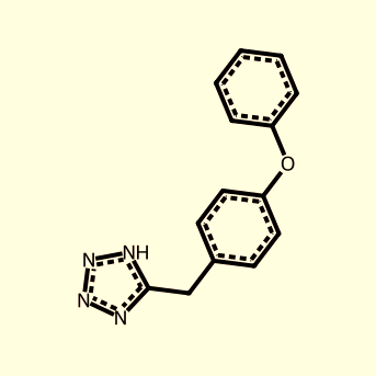 c1ccc(Oc2ccc(Cc3nnn[nH]3)cc2)cc1